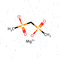 CP(=O)([O-])CP(C)(=O)[O-].[Mg+2]